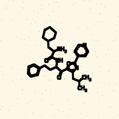 CC(C)Cc1nc(-c2ccncc2)oc1C(=O)C(CCc1ccccc1)NC(=O)C(N)CC1CCCCC1